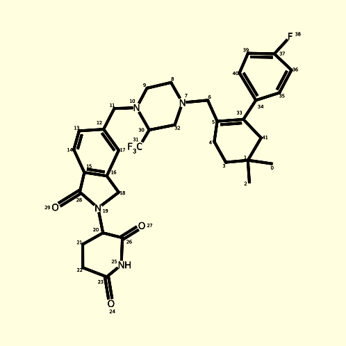 CC1(C)CCC(CN2CCN(Cc3ccc4c(c3)CN(C3CCC(=O)NC3=O)C4=O)C(C(F)(F)F)C2)=C(c2ccc(F)cc2)C1